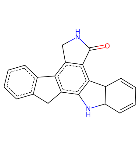 O=C1NCc2c1c1c(c3c2-c2ccccc2C3)NC2C=CC=CC12